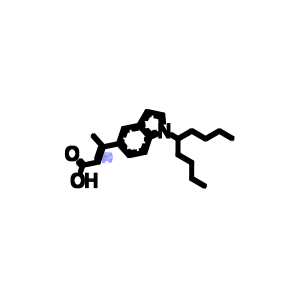 CCCCC(CCCC)n1ccc2cc(/C(C)=C/C(=O)O)ccc21